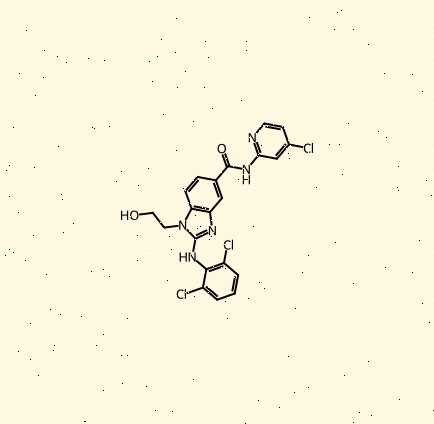 O=C(Nc1cc(Cl)ccn1)c1ccc2c(c1)nc(Nc1c(Cl)cccc1Cl)n2CCO